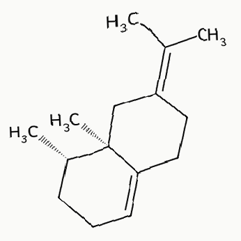 CC(C)=C1CCC2=CCC[C@H](C)[C@@]2(C)C1